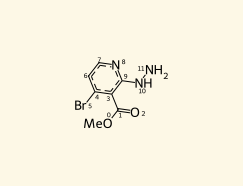 COC(=O)c1c(Br)ccnc1NN